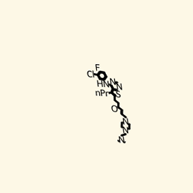 CCCc1c(CCC(=O)/C=C/CN2CCN(CCN(C)C)CC2)sc2ncnc(Nc3ccc(F)c(Cl)c3)c12